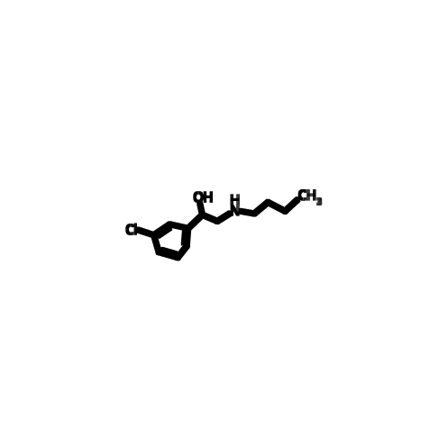 CCCCNCC(O)c1cccc(Cl)c1